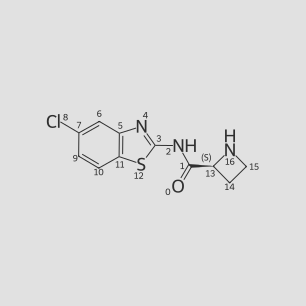 O=C(Nc1nc2cc(Cl)ccc2s1)[C@@H]1CCN1